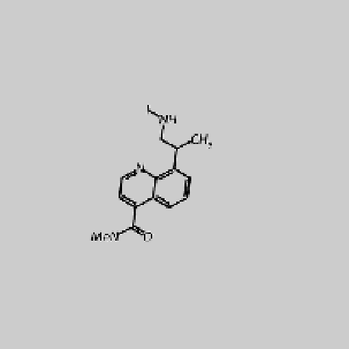 CNC(=O)c1ccnc2c(C(C)CNI)cccc12